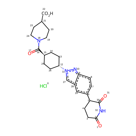 Cl.O=C1CCC(c2ccc3nn([C@H]4CC[C@H](C(=O)N5CCC(C(=O)O)CC5)CC4)cc3c2)C(=O)N1